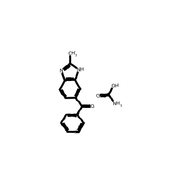 Cc1nc2ccc(C(=O)c3ccccc3)cc2[nH]1.NC(=O)O